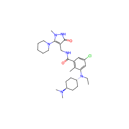 CCN(c1cc(Cl)cc(C(=O)NCc2c(N3CCCCC3)n(C)[nH]c2=O)c1C)[C@H]1CC[C@H](N(C)C)CC1